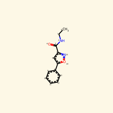 CCNC(=O)c1cc(-c2ccccc2)on1